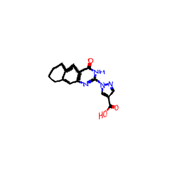 O=C(O)c1cnn(-c2nc3cc4c(cc3c(=O)[nH]2)CCCC4)c1